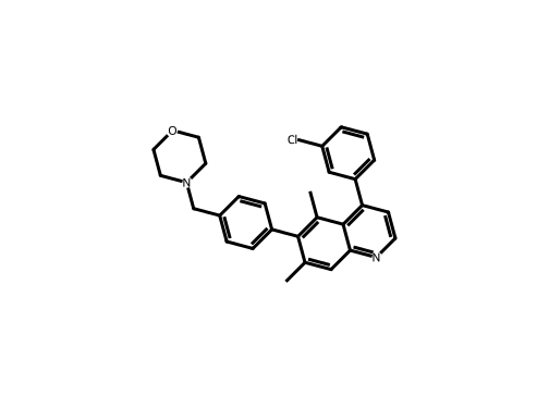 Cc1cc2nccc(-c3cccc(Cl)c3)c2c(C)c1-c1ccc(CN2CCOCC2)cc1